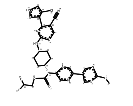 COc1ncc(-c2cnc(N(C(=O)OCC(F)F)[C@H]3CC[C@H](Nc4ncc(C#N)c(-c5n[nH]cc5Cl)n4)CC3)cn2)cn1